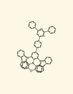 c1ccc(-c2cc(-c3ccc(-c4cc(-n5c6ccccc6c6ccccc65)c(N5c6ccccc6Oc6ccccc65)c(-n5c6ccccc6c6ccccc65)c4)cc3)nc(-c3ccccc3)n2)cc1